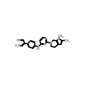 Cc1cc2c(n1C)CN(c1nccc(Nc3ccc(/C(C=N)=C/N)cc3)n1)CC2